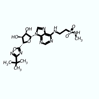 CNS(=O)(=O)CCNc1ncnc2c1ncn2[C@@H]1O[C@H](c2nc(C(C)(C)C)no2)[C@@H](O)[C@H]1O